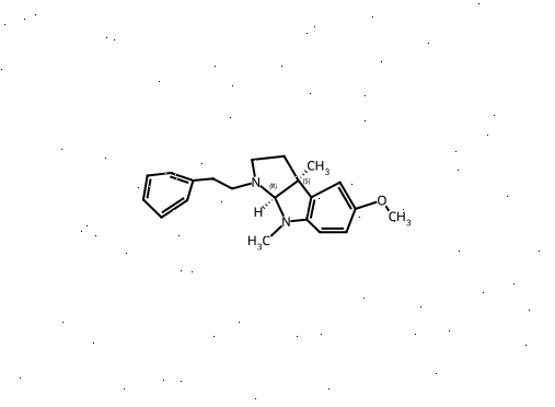 COc1ccc2c(c1)[C@]1(C)CCN(CCc3ccccc3)[C@@H]1N2C